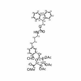 COC(=O)[C@H]1O[C@@H](Oc2cc(CCCCNC(=O)OCC3c4ccccc4-c4ccccc43)ccc2C=O)[C@H](OC(C)=O)[C@@H](OC(C)=O)[C@@H]1OC(C)=O